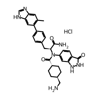 Cc1cc2nc[nH]c2cc1-c1ccc(C[C@@H](C(N)=O)N(c2ccc3c(=O)[nH][nH]c3c2)C(=O)[C@H]2CC[C@H](CN)CC2)cc1.Cl